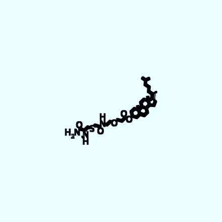 CNC(CSCC(=O)NCCOCCC(=O)OC1CCC2(C)C(=CCC3C2CCC2(C)C3CC[C@@H]2[C@H](C)CCCC(C)C)C1)C(N)=O